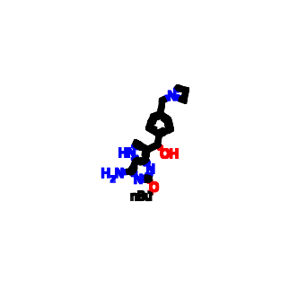 CCCCOc1nc(N)c2[nH]cc(C(O)c3ccc(CN4CCC4)cc3)c2n1